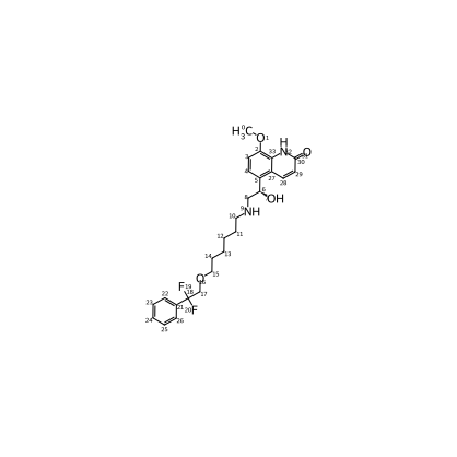 COc1ccc([C@@H](O)CNCCCCCCOCC(F)(F)c2ccccc2)c2ccc(=O)[nH]c12